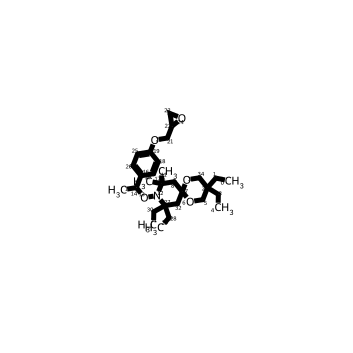 CCC1(CC)COC2(CC(C)(C)N(OC(C)c3ccc(OCC4CO4)cc3)C(CC)(CC)C2)OC1